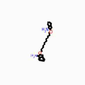 N[C@@H]1c2ccccc2C[C@H]1OCCCCCCCCCCCCO[C@@H]1Cc2ccccc2[C@H]1N